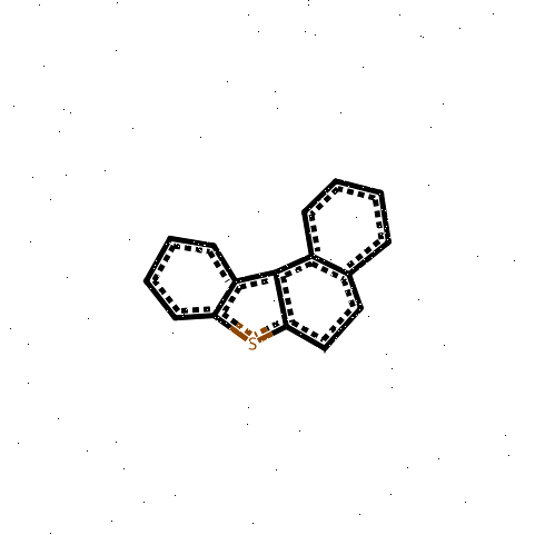 [c]1cc2ccccc2c2c1sc1ccccc12